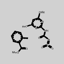 COC(=O)c1ccccc1C.COc1cc(OC)nc(NC(=O)N=S(=O)=O)n1